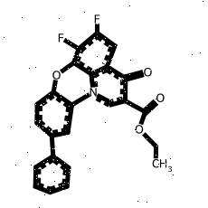 CCOC(=O)c1cn2c3c(c(F)c(F)cc3c1=O)Oc1ccc(-c3ccccc3)cc1-2